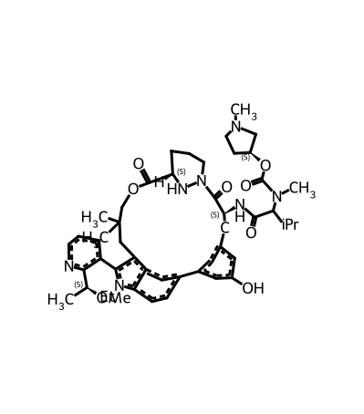 CCn1c(-c2cccnc2[C@H](C)OC)c2c3cc(ccc31)-c1cc(O)cc(c1)C[C@H](NC(=O)C(C(C)C)N(C)C(=O)O[C@H]1CCN(C)C1)C(=O)N1CCC[C@H](N1)C(=O)OCC(C)(C)C2